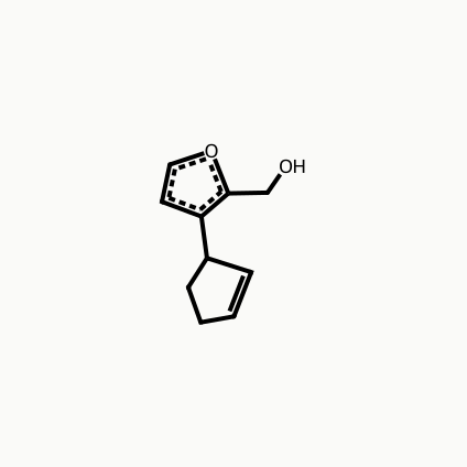 OCc1occc1C1C=CCC1